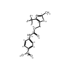 Cc1nc(C(F)(F)F)c(COC(=O)Nc2ccc([N+](=O)[O-])cc2)s1